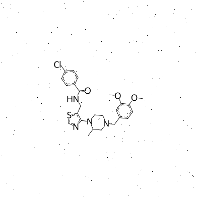 COc1ccc(CN2CCN(c3ncsc3CNC(=O)c3ccc(Cl)cc3)C(C)C2)cc1OC